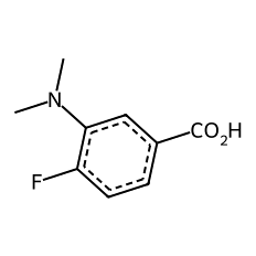 CN(C)c1cc(C(=O)O)ccc1F